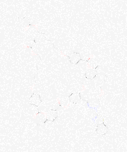 C=CC(=O)OCCCCCCOc1ccc(C(=O)OC(=C)/C=C\C(=C)COc2ccc(OC(=O)C(=C)/C=C\C(=C)OC(=O)c3ccc(OCCCCCCOC(=O)C=C)cc3)cc2/C=N/N(CCOCCOC)c2nc3ccccc3s2)cc1